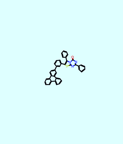 O=c1nc(-c2ccccc2)nc2sc(-c3cccc(-c4ccc5c6ccccc6c6ccccc6c5c4)c3)c(-c3ccccc3)n12